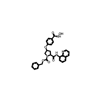 O=C(NO)c1ccc(OC2CC(C(=O)Nc3cccc4cccnc34)N(C(=O)OCc3ccccc3)C2)cc1